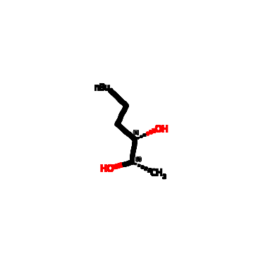 CCCCCC[C@H](O)[C@H](C)O